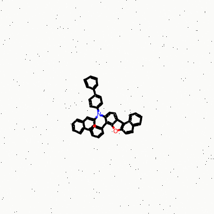 c1ccc(-c2ccc(N(c3ccc4ccccc4c3)c3ccc4c(oc5ccc6ccccc6c54)c3-c3ccccc3)cc2)cc1